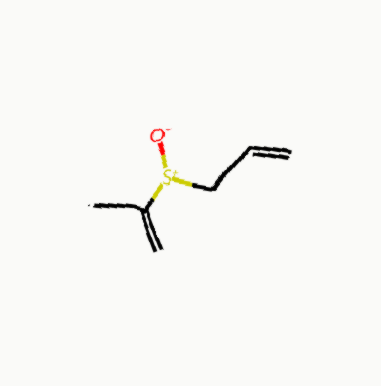 [CH2]C(=C)[S+]([O-])CC=C